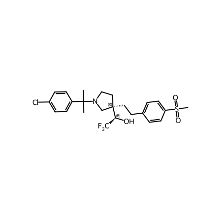 CC(C)(c1ccc(Cl)cc1)N1CC[C@@](CCc2ccc(S(C)(=O)=O)cc2)([C@@H](O)C(F)(F)F)C1